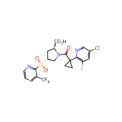 O=C(O)[C@@H]1C[C@@H](S(=O)(=O)c2ncccc2C(F)(F)F)CN1C(=O)C1(c2ncc(Cl)cc2F)CC1